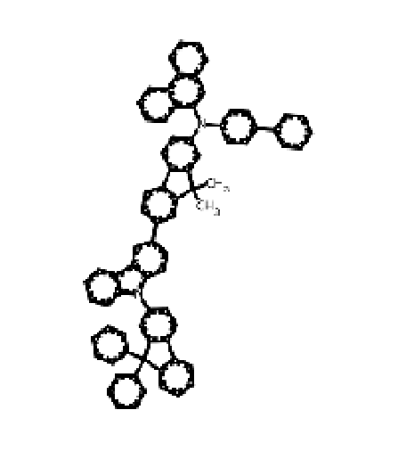 CC1(C)c2cc(-c3ccc4c(c3)c3ccccc3n4-c3ccc4c(c3)C(c3ccccc3)(c3ccccc3)c3ccccc3-4)ccc2-c2ccc(N(c3ccc(-c4ccccc4)cc3)c3cc4ccccc4c4ccccc34)cc21